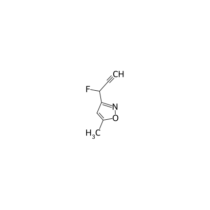 C#CC(F)c1cc(C)on1